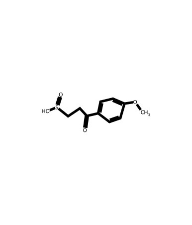 COc1ccc(C(=O)CCS(=O)O)cc1